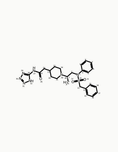 C[C@H](CN(c1ccccc1)S(=O)(=O)Cc1ccccc1)N1CCC(CC(=O)Nc2nnn[nH]2)CC1